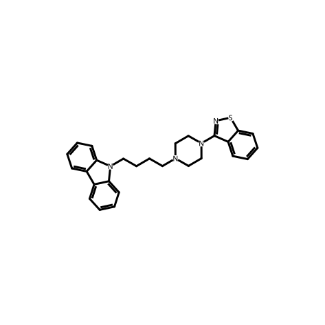 c1ccc2c(N3CCN(CCCCn4c5ccccc5c5ccccc54)CC3)nsc2c1